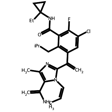 C=C(c1cc(Cl)c(F)c(C(=O)NC2(CC)CC2)c1CC(C)C)c1nc(C)c(C(=C)N)n1/C=C\C